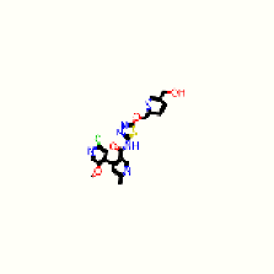 COc1cnc(Cl)cc1-c1cc(C)ncc1C(=O)Nc1nnc(OCc2ccc(CO)cn2)s1